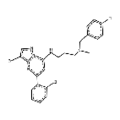 CN(CCCNc1cc(-c2ccccc2Cl)nc2c(Br)cnn12)Cc1ccc(Cl)cc1